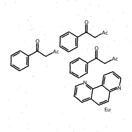 CC(=O)CC(=O)c1ccccc1.CC(=O)CC(=O)c1ccccc1.CC(=O)CC(=O)c1ccccc1.[Eu].c1cnc2c(c1)ccc1ncccc12